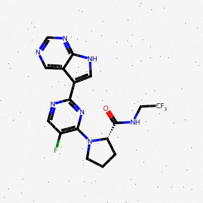 O=C(NCC(F)(F)F)[C@@H]1CCCN1c1nc(-c2c[nH]c3ncncc23)ncc1F